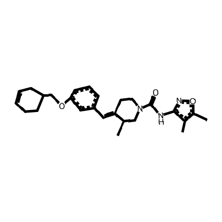 Cc1onc(NC(=O)N2CC/C(=C\c3cccc(OCC4CC=CCC4)c3)C(C)C2)c1C